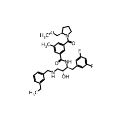 CCc1cccc(CNC[C@@H](O)[C@H](Cc2cc(F)cc(F)c2)NC(=O)c2cc(C)cc(C(=O)N3CCC[C@@H]3COC)c2)c1